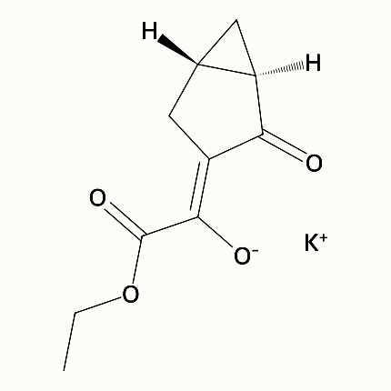 CCOC(=O)C([O-])=C1C[C@@H]2C[C@H]2C1=O.[K+]